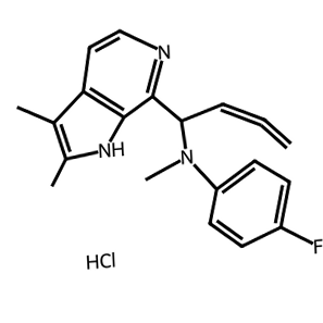 C=C=CC(c1nccc2c(C)c(C)[nH]c12)N(C)c1ccc(F)cc1.Cl